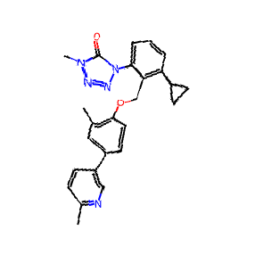 Cc1ccc(-c2ccc(OCc3c(C4CC4)cccc3-n3nnn(C)c3=O)c(C)c2)cn1